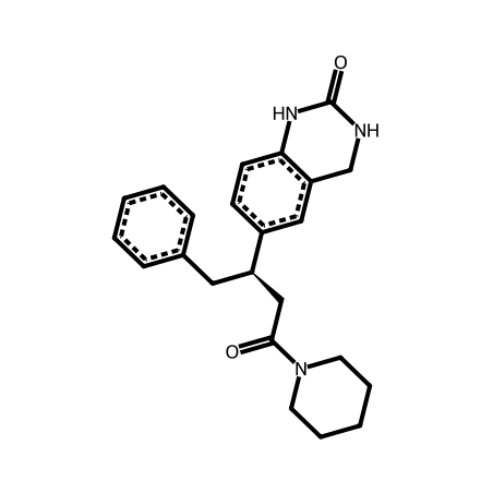 O=C1NCc2cc([C@@H](CC(=O)N3CCCCC3)Cc3ccccc3)ccc2N1